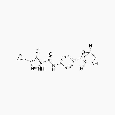 O=C(Nc1ccc([C@@H]2O[C@H]3CN[C@@H]2C3)cc1)c1[nH]nc(C2CC2)c1Cl